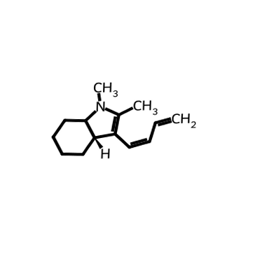 C=C/C=C\C1=C(C)N(C)C2CCCC[C@@H]12